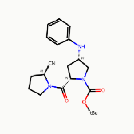 CC(C)(C)OC(=O)N1C[C@@H](Nc2ccccc2)C[C@H]1C(=O)N1CCC[C@H]1C#N